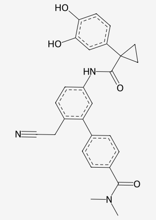 CN(C)C(=O)c1ccc(-c2cc(NC(=O)C3(c4ccc(O)c(O)c4)CC3)ccc2CC#N)cc1